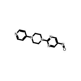 O=Nc1cnc(N2CCN(c3ccncc3)CC2)nc1